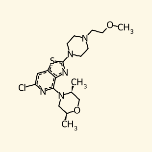 COCCN1CCN(c2nc3c(N4C[C@H](C)OC[C@@H]4C)nc(Cl)cc3s2)CC1